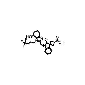 O=C(O)N1CC2(C1)C(=O)N(Cc1nc3c(n1CCCC(F)(F)F)C(O)CCC3)c1ccccc12